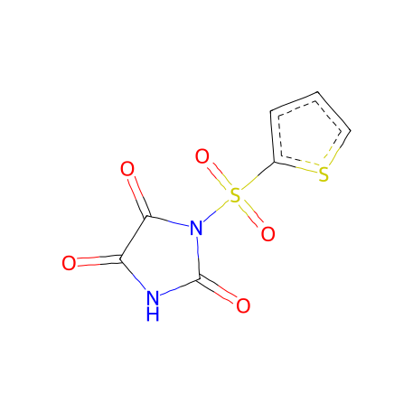 O=C1NC(=O)N(S(=O)(=O)c2cccs2)C1=O